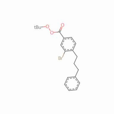 CC(C)(C)OOC(=O)c1ccc(CCCc2ccccc2)c(Br)c1